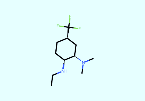 CCN[C@H]1CC[C@@H](C(F)(F)F)C[C@@H]1N(C)C